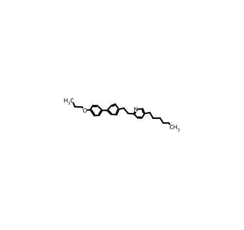 CCCCCCc1ccc(CCc2ccc(-c3ccc(OCCC)cc3)cc2)nc1